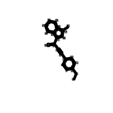 CCc1ccc(C#CC(=O)c2cn(C)c3ccccc23)cc1